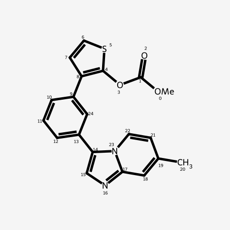 COC(=O)Oc1sccc1-c1cccc(-c2cnc3cc(C)ccn23)c1